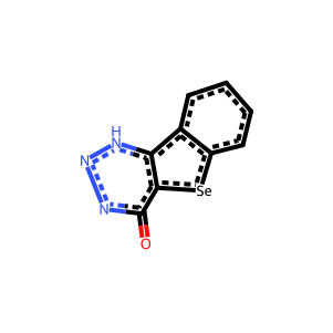 O=c1nn[nH]c2c1[se]c1ccccc12